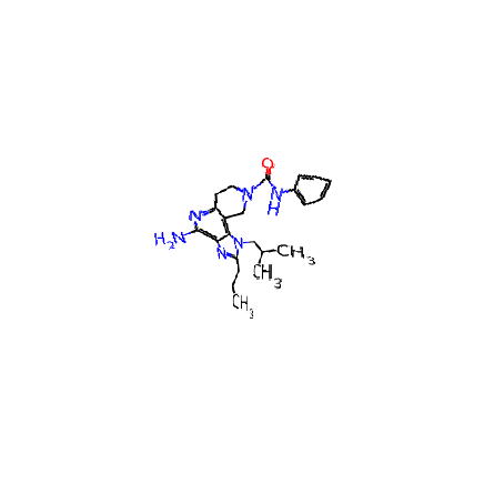 CCCc1nc2c(N)nc3c(c2n1CC(C)C)CN(C(=O)Nc1ccccc1)CC3